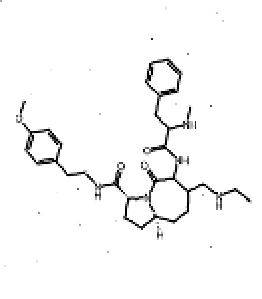 CCNCC1CC[C@H]2CC[C@@H](C(=O)NCCc3ccc(OC)cc3)N2C(=O)C1NC(=O)C(Cc1ccccc1)NC